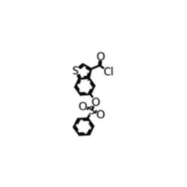 O=C(Cl)c1csc2ccc(OS(=O)(=O)c3ccccc3)cc12